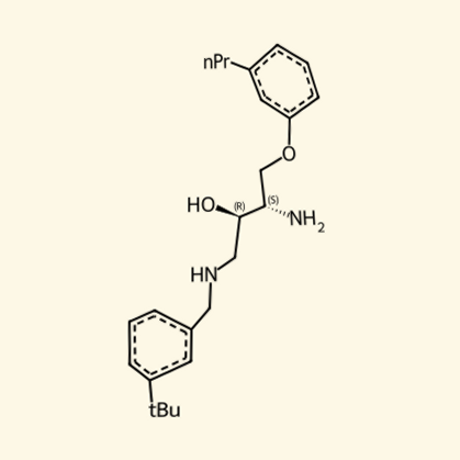 CCCc1cccc(OC[C@H](N)[C@H](O)CNCc2cccc(C(C)(C)C)c2)c1